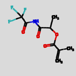 C=C(C)C(=O)OC(C)C(=O)NC(=O)C(F)(F)F